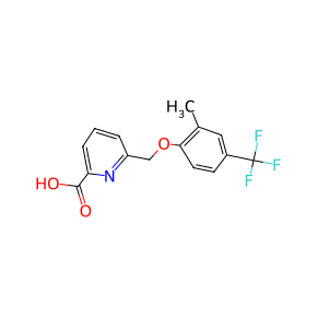 Cc1cc(C(F)(F)F)ccc1OCc1cccc(C(=O)O)n1